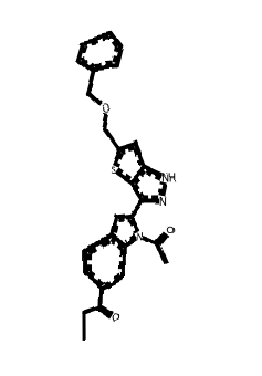 CCC(=O)c1ccc2cc(-c3n[nH]c4cc(COCc5ccccc5)sc34)n(C(C)=O)c2c1